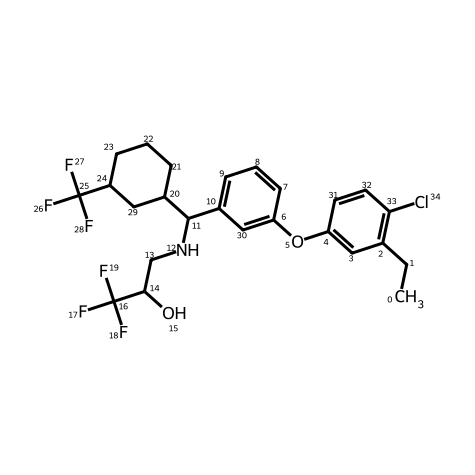 CCc1cc(Oc2cccc(C(NCC(O)C(F)(F)F)C3CCCC(C(F)(F)F)C3)c2)ccc1Cl